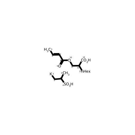 CC([CH2][K])S(=O)(=O)O.CC=CC(=O)OCC(CCCCCC)C(=O)O